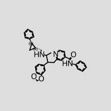 CC(NC[C@@H]1C[C@H]1c1ccccc1)C(Cc1cc(C(=O)Nc2ccccc2)ccn1)c1ccc2c(c1)OCO2